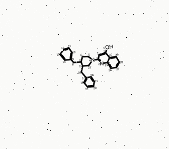 Oc1cc(N2CCC(Cc3ccccc3)C(Cc3ccccc3)C2)nc2ccccc12